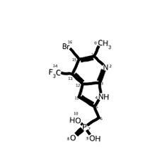 Cc1nc2[nH]c(CP(=O)(O)O)cc2c(C(F)(F)F)c1Br